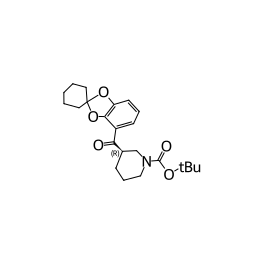 CC(C)(C)OC(=O)N1CCC[C@@H](C(=O)c2cccc3c2OC2(CCCCC2)O3)C1